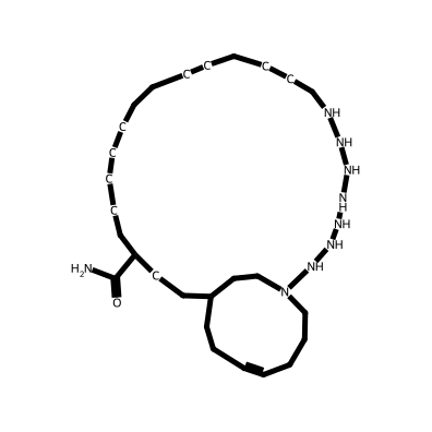 NC(=O)C1CCCCCCCCCCCCCNNNNNNNN2CCCC=CCCC(CC1)CC2